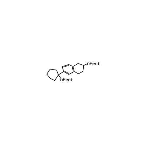 CCCCCC1CCc2cc(C3(CCCCC)CCCCC3)ccc2C1